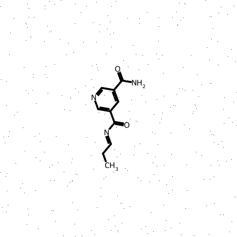 CCC=NC(=O)c1cncc(C(N)=O)c1